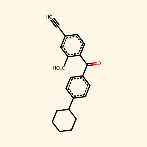 C#Cc1ccc(C(=O)c2ccc(C3CCCCC3)cc2)c(C(=O)O)c1